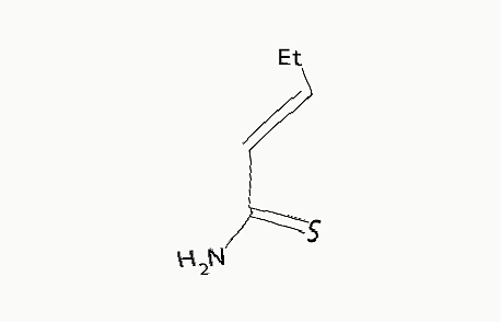 CCC=CC(N)=S